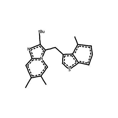 Cc1cc2nc(C(C)(C)C)c(Cc3csc4cccc(C)c34)n2cc1C